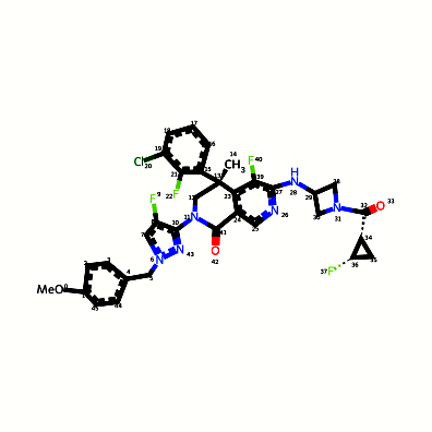 COc1ccc(Cn2cc(F)c(N3C[C@](C)(c4cccc(Cl)c4F)c4c(cnc(NC5CN(C(=O)[C@@H]6C[C@@H]6F)C5)c4F)C3=O)n2)cc1